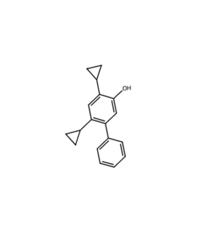 Oc1cc(-c2ccccc2)c(C2CC2)cc1C1CC1